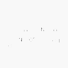 CC(C)N1C[C@H](OC(=O)N2CCOCC2)C[C@H]1C(=O)O